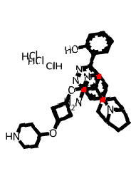 Cl.Cl.Cl.Nc1nnc(-c2ccccc2O)cc1N1CC2CCC(C1)N2c1ccnc(OC2CC(OC3CCNCC3)C2)c1